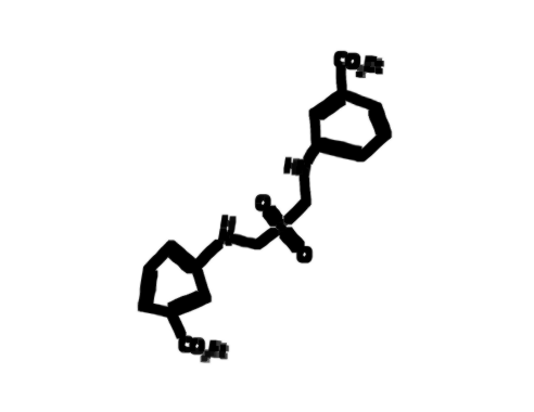 CCOC(=O)c1cccc(NCS(=O)(=O)CNc2cccc(C(=O)OCC)c2)c1